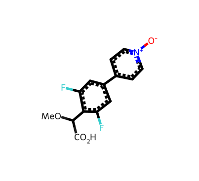 COC(C(=O)O)c1c(F)cc(-c2cc[n+]([O-])cc2)cc1F